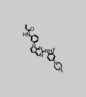 C=CC(=O)Nc1cccc(-n2ccc3cnc(Nc4ccc(N5CCN(C)CC5)cc4F)nc32)c1